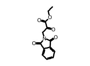 CCOC(=O)C(=O)CN1C(=O)c2ccccc2C1=O